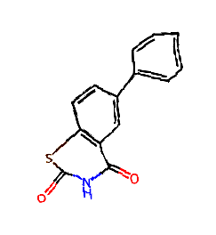 O=c1[nH]c(=O)c2cc(-c3ccccc3)ccc2s1